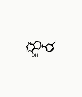 Oc1ncnc2c1CN(c1cccc(I)c1)CC2